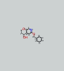 OC1CCOc2cnc(OCc3ccccc3)cc21